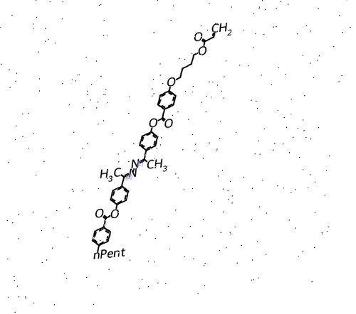 C=CC(=O)OCCCCOc1ccc(C(=O)Oc2ccc(/C(C)=N/N=C(\C)c3ccc(OC(=O)c4ccc(CCCCC)cc4)cc3)cc2)cc1